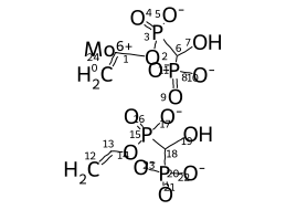 C=COP(=O)([O-])C(O)P(=O)([O-])[O-].C=COP(=O)([O-])C(O)P(=O)([O-])[O-].[Mo+6]